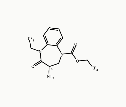 N[C@H]1CN(C(=O)OCC(F)(F)F)c2ccccc2N(CC(F)(F)F)C1=O